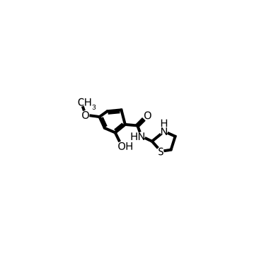 COc1ccc(C(=O)NC2NCCS2)c(O)c1